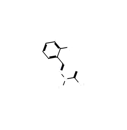 CN(/N=C/c1ccccc1O)C(N)=S